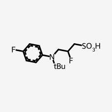 CC(C)(C)N(CC(F)CS(=O)(=O)O)c1ccc(F)cc1